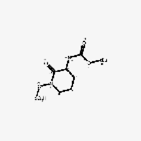 CC(C)(C)OC(=O)NC1CCCN(OS(=O)(=O)O)C1=O